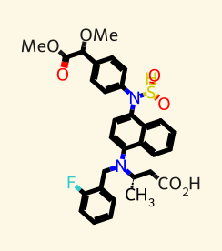 COC(=O)C(OC)c1ccc(N(c2ccc(N(Cc3ccccc3F)[C@@H](C)CC(=O)O)c3ccccc23)[SH](=O)=O)cc1